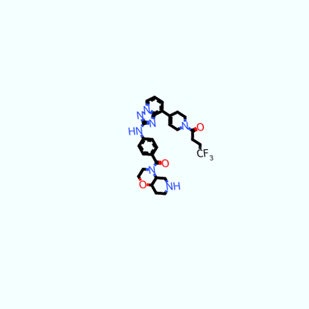 O=C(CCC(F)(F)F)N1CC=C(c2cccn3nc(Nc4ccc(C(=O)N5CCOC6CCNCC65)cc4)nc23)CC1